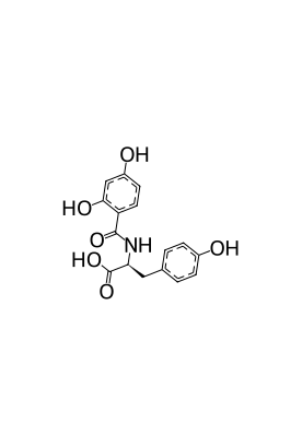 O=C(N[C@@H](Cc1ccc(O)cc1)C(=O)O)c1ccc(O)cc1O